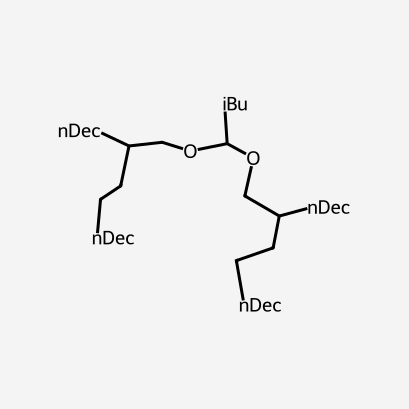 CCCCCCCCCCCCC(CCCCCCCCCC)COC(OCC(CCCCCCCCCC)CCCCCCCCCCCC)C(C)CC